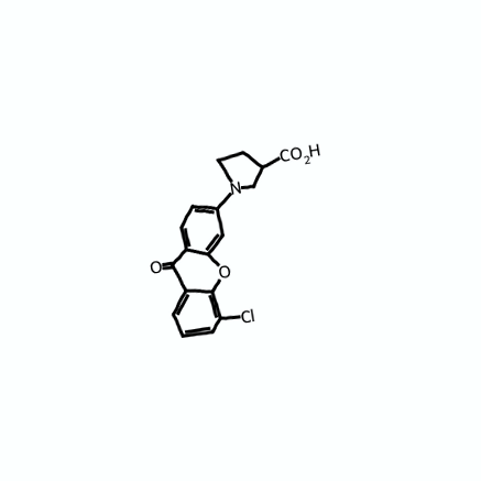 O=C(O)C1CCN(c2ccc3c(=O)c4cccc(Cl)c4oc3c2)C1